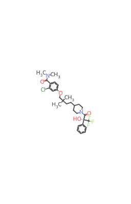 CN(C)C(=O)c1ccc(OCC(C)(C)CCC2CCN(C(=O)[C@](O)(c3ccccc3)C(F)(F)F)CC2)cc1Cl